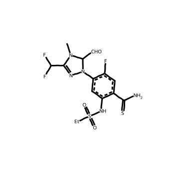 CCS(=O)(=O)Nc1cc(N2N=C(C(F)F)N(C)C2C=O)c(F)cc1C(N)=S